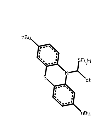 CCCCc1ccc2c(c1)Sc1ccc(CCCC)cc1N2C(CC)S(=O)(=O)O